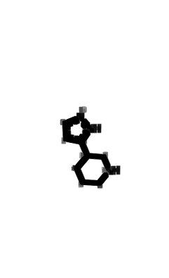 c1cc(C2CCCNC2)[nH]n1